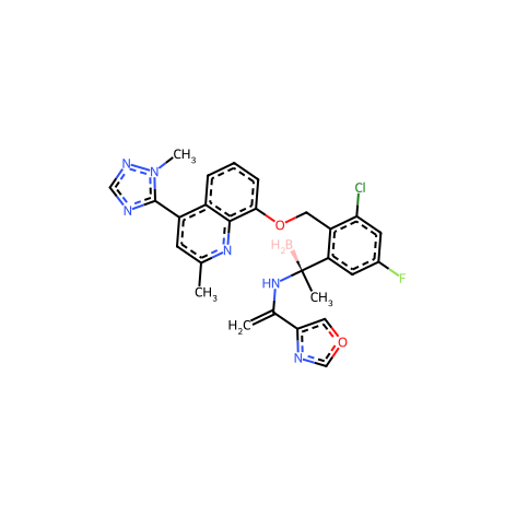 B[C@@](C)(NC(=C)c1cocn1)c1cc(F)cc(Cl)c1COc1cccc2c(-c3ncnn3C)cc(C)nc12